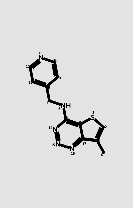 Cc1csc2c(NCc3ccncc3)nnnc12